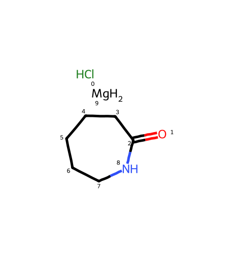 Cl.O=C1CCCCCN1.[MgH2]